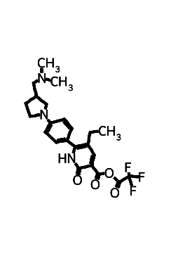 CCc1cc(C(=O)OC(=O)C(F)(F)F)c(=O)[nH]c1-c1ccc(N2CCC(CN(C)C)C2)cc1